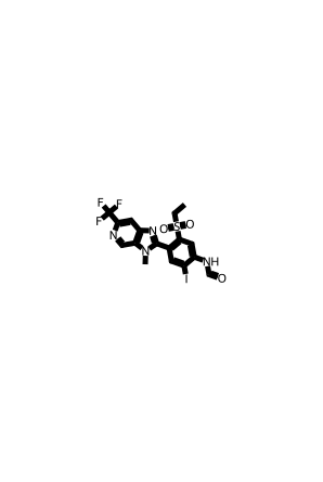 CCS(=O)(=O)c1cc(NC=O)c(I)cc1-c1nc2cc(C(F)(F)F)ncc2n1C